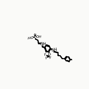 Cc1ccc(CCCCCNc2ccc(CNCCCP(=O)(O)O)cc2OC(F)(F)F)cc1